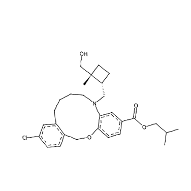 CC(C)COC(=O)c1ccc2c(c1)N(C[C@H]1CC[C@@]1(C)CO)CCCCc1cc(Cl)ccc1CO2